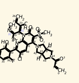 C=CC(=O)N1C[C@@H]2CN(c3c(S(C)(=O)=O)c(=O)n(C(/C(=N\C)C(C)C)=C(\C)C=C)c4nc(-c5c(O)cccc5F)c(Cl)cc34)C[C@@H]2C1